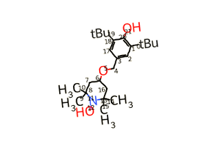 CC(C)(C)c1cc(COC2CC(C)(C)N(O)C(C)(C)C2)cc(C(C)(C)C)c1O